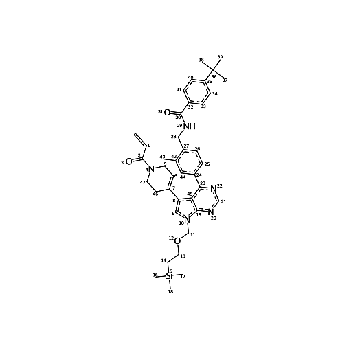 C=CC(=O)N1CC=C(c2cn(COCC[Si](C)(C)C)c3ncnc(-c4ccc(CNC(=O)c5ccc(C(C)(C)C)cc5)c(C)c4)c23)CC1